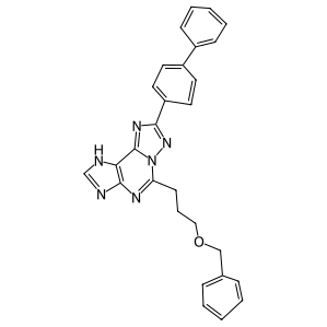 c1ccc(COCCCc2nc3nc[nH]c3c3nc(-c4ccc(-c5ccccc5)cc4)nn23)cc1